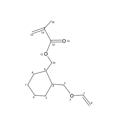 C=COCC1CCCCC1COC(=O)C(=C)C